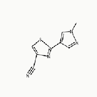 Cn1cc(-c2nc(C#N)cs2)cn1